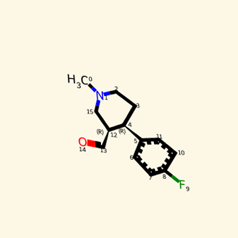 CN1CC[C@@H](c2ccc(F)cc2)[C@@H](C=O)C1